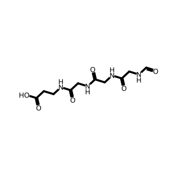 O=CNCC(=O)NCC(=O)NCC(=O)NCCC(=O)O